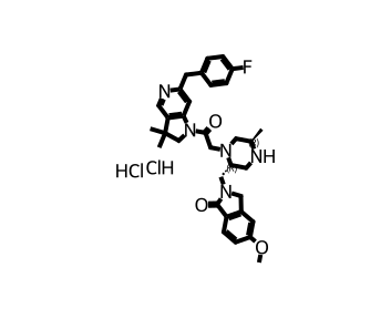 COc1ccc2c(c1)CN(C[C@H]1CN[C@H](C)CN1CC(=O)N1CC(C)(C)c3cnc(Cc4ccc(F)cc4)cc31)C2=O.Cl.Cl